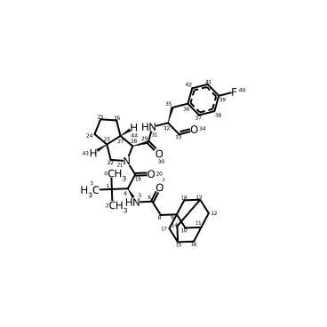 CC(C)(C)[C@H](NC(=O)CC12CC3CC(CC(C3)C1)C2)C(=O)N1C[C@@H]2CCC[C@@H]2[C@H]1C(=O)N[C@H](C=O)Cc1ccc(F)cc1